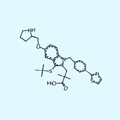 CC(C)(C)Sc1c(CC(C)(C)C(=O)O)n(Cc2ccc(-c3nccs3)cc2)c2ccc(OCC3CCCN3)cc12